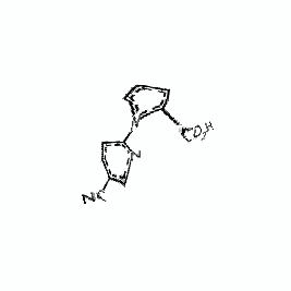 N#Cc1ccc(-n2cccc2C(=O)O)nc1